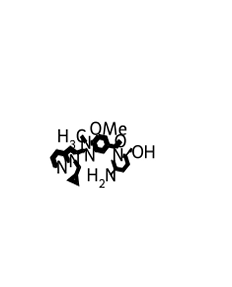 COc1cc(C(=O)N2C[C@H](N)CC[C@@H]2CO)cc2nc(-c3cc4cccnc4n3CC3CC3)n(C)c12